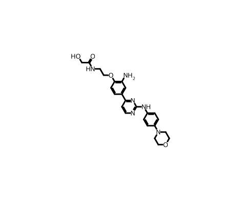 Nc1cc(-c2ccnc(Nc3ccc(N4CCOCC4)cc3)n2)ccc1OCCNC(=O)CO